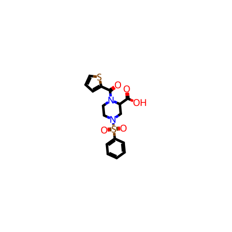 O=C(O)C1CN(S(=O)(=O)c2ccccc2)CCN1C(=O)c1cccs1